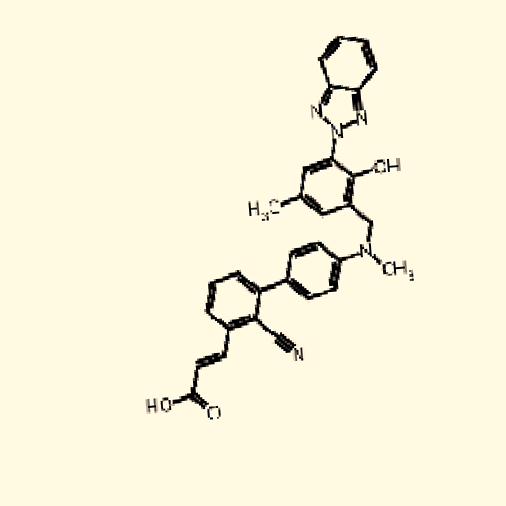 Cc1cc(CN(C)c2ccc(-c3cccc(C=CC(=O)O)c3C#N)cc2)c(O)c(-n2nc3ccccc3n2)c1